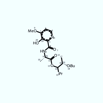 COc1ccnc(C(=O)N[C@@H](C)C(=O)OC(C(C)C)[C@H](C)OCC(C)C)c1O